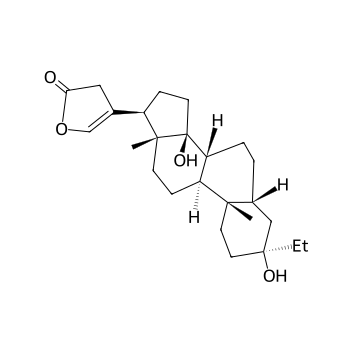 CC[C@]1(O)CC[C@@]2(C)[C@H](CC[C@@H]3[C@@H]2CC[C@]2(C)[C@@H](C4=COC(=O)C4)CC[C@]32O)C1